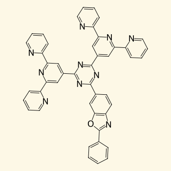 c1ccc(-c2nc3ccc(-c4nc(-c5cc(-c6ccccn6)nc(-c6ccccn6)c5)nc(-c5cc(-c6ccccn6)nc(-c6ccccn6)c5)n4)cc3o2)cc1